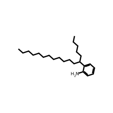 CCCCCCCCCCCCC(CCCCC)c1ccccc1N